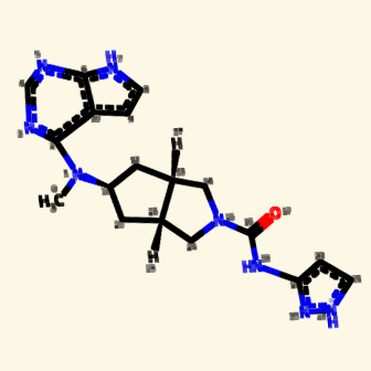 CN(c1ncnc2[nH]ccc12)[C@H]1C[C@@H]2CN(C(=O)Nc3cc[nH]n3)C[C@@H]2C1